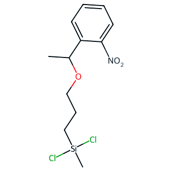 CC(OCCC[Si](C)(Cl)Cl)c1ccccc1[N+](=O)[O-]